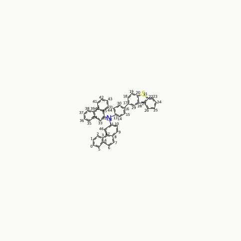 c1ccc2c(c1)ccc1ccc(N(c3ccc(-c4ccc5sc6ccccc6c5c4)cc3)c3cc4ccccc4c4ccccc34)cc12